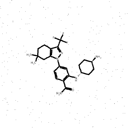 CC1(C)CCc2c(C(F)(F)F)nn(-c3ccc(C(N)=O)c(N[C@H]4CC[C@H](N)CC4)c3)c2C1